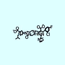 COC(=O)C1=C(CN2CCN3C(=O)N([C@H]4C[C@H](C(=O)OC)N(CC(C)C)C4)CC3C2)NC(c2nccs2)=NC1c1ccc(F)cc1Cl